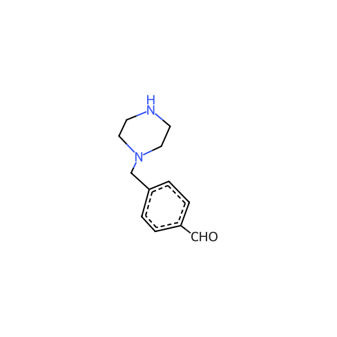 O=Cc1ccc(CN2CCNCC2)cc1